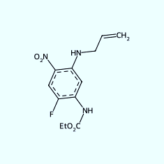 C=CCNc1cc(NC(=O)OCC)c(F)cc1[N+](=O)[O-]